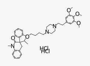 COc1cc(CCN2CCN(CCCCOc3ccccc3C3(C(C)C)Cc4ccccc4N(C)C3=O)CC2)cc(OC)c1OC.Cl.Cl